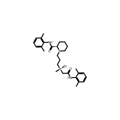 CC[N+](C)(CCCN1CCCC[C@@H]1C(=O)Nc1c(C)cccc1C)CC(=O)Nc1c(C)cccc1C